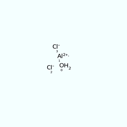 O.[Al+2].[Cl-].[Cl-]